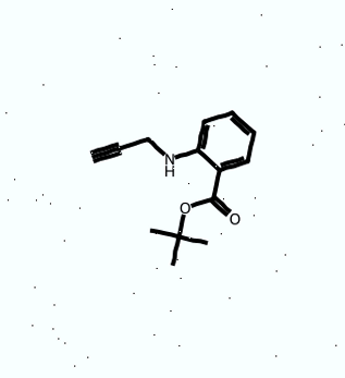 C#CCNc1ccccc1C(=O)OC(C)(C)C